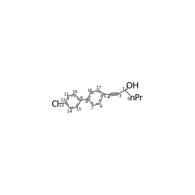 CCCC(O)C#Cc1ccc(-c2ccc(Cl)cc2)cc1